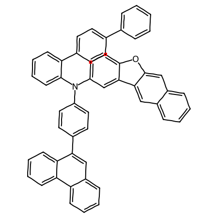 c1ccc(-c2ccc(-c3ccccc3N(c3ccc(-c4cc5ccccc5c5ccccc45)cc3)c3ccc4oc5cc6ccccc6cc5c4c3)cc2)cc1